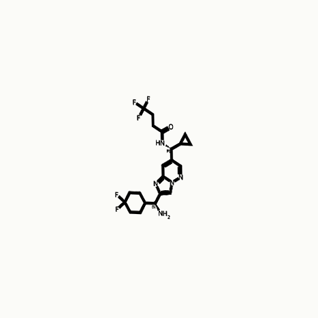 N[C@H](c1cn2ncc([C@H](NC(=O)CCC(F)(F)F)C3CC3)cc2n1)C1CCC(F)(F)CC1